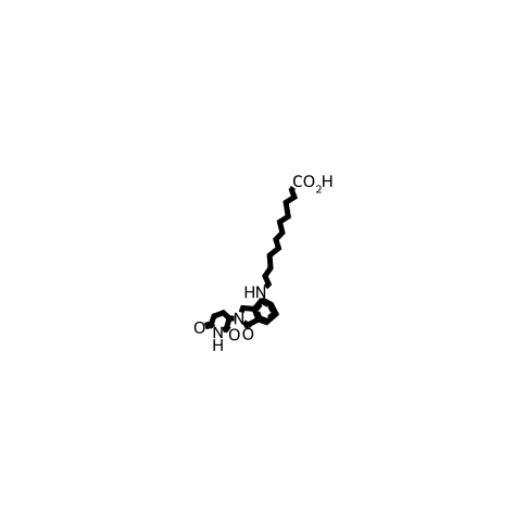 O=C(O)CCCCCCCCCCCCNc1cccc2c1CN(C1CCC(=O)NC1=O)C2=O